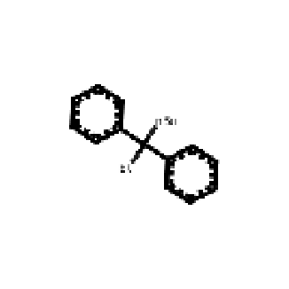 CCCCC(CC)(c1ccccc1)c1ccccc1